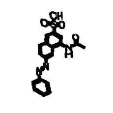 CC(=O)Nc1cc(S(=O)(=O)O)cc2ccc(N=Nc3ccccc3)cc12